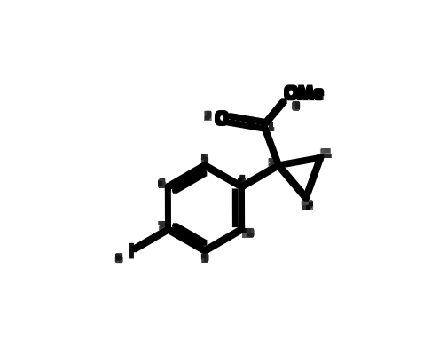 COC(=O)C1(c2ccc(I)cc2)CC1